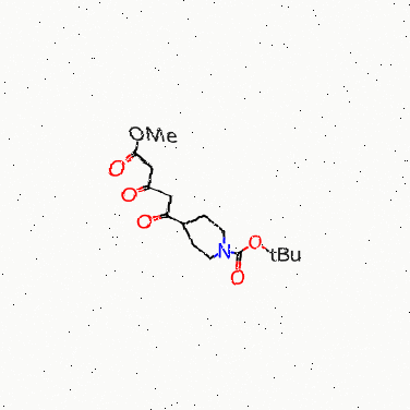 COC(=O)CC(=O)CC(=O)C1CCN(C(=O)OC(C)(C)C)CC1